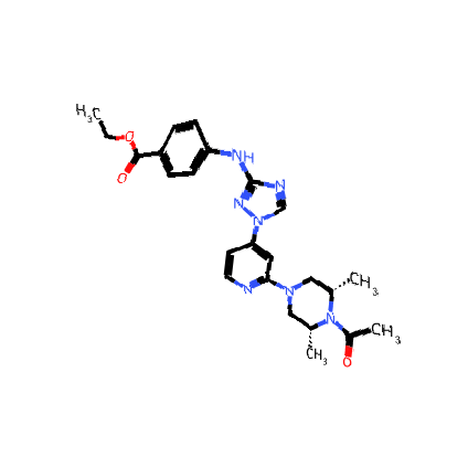 CCOC(=O)c1ccc(Nc2ncn(-c3ccnc(N4C[C@@H](C)N(C(C)=O)[C@@H](C)C4)c3)n2)cc1